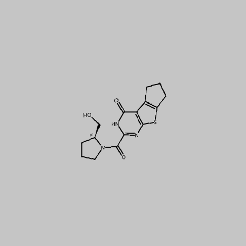 O=C(c1nc2sc3c(c2c(=O)[nH]1)CCC3)N1CCC[C@H]1CO